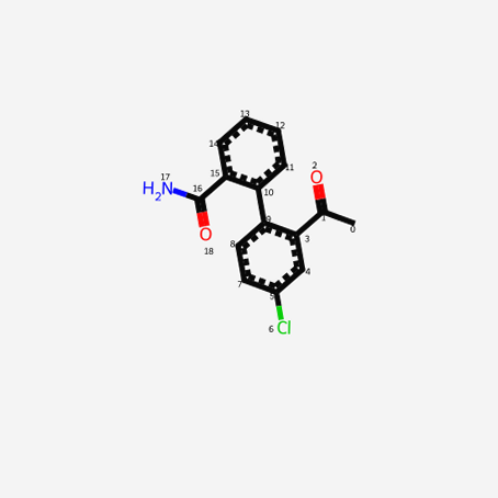 CC(=O)c1cc(Cl)ccc1-c1ccccc1C(N)=O